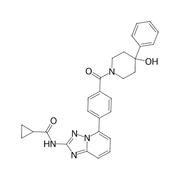 O=C(Nc1nc2cccc(-c3ccc(C(=O)N4CCC(O)(c5ccccc5)CC4)cc3)n2n1)C1CC1